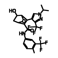 Cc1ccc(NC(=O)C2C3CC(O)C(O3)C2c2cn(C(C)C)nc2C(F)(F)F)cc1C(F)(F)F